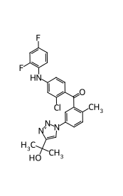 Cc1ccc(-n2cc(C(C)(C)O)nn2)cc1C(=O)c1ccc(Nc2ccc(F)cc2F)cc1Cl